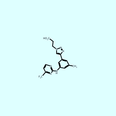 Cc1cc(Nc2nccc(C(F)(F)F)n2)cc(-c2cn(CCC(=O)O)nn2)c1